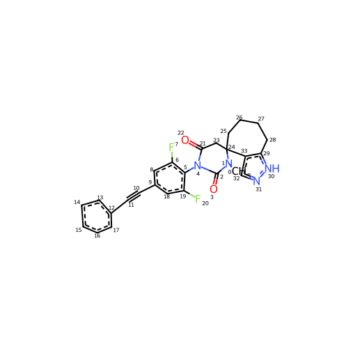 CN1C(=O)N(c2c(F)cc(C#Cc3ccccc3)cc2F)C(=O)CC12CCCCc1[nH]ncc12